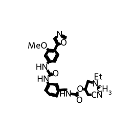 CCN(C)CC(CC#N)OC(=O)NCc1cccc(NC(=O)Nc2ccc(-c3cnco3)c(OC)c2)c1